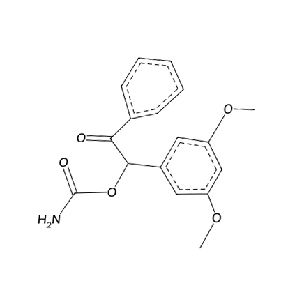 COc1cc(OC)cc(C(OC(N)=O)C(=O)c2ccccc2)c1